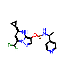 CC(NSOc1cnn2c1NC(=C1CC1)C=C2C(F)F)c1ccncc1